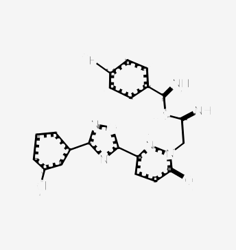 N=C(Cn1nc(-c2nc(-c3cccc(Cl)c3)no2)ccc1=O)SC(=N)c1ccc(F)cc1